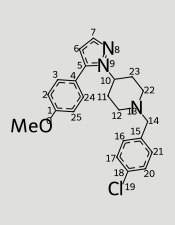 COc1ccc(-c2ccnn2C2CCN(Cc3ccc(Cl)cc3)CC2)cc1